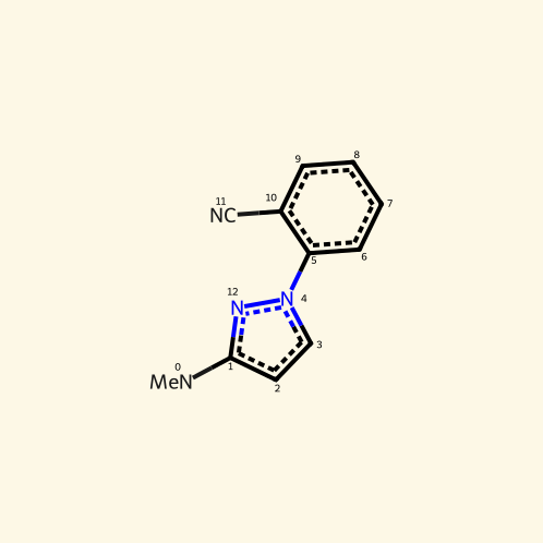 CNc1ccn(-c2ccccc2C#N)n1